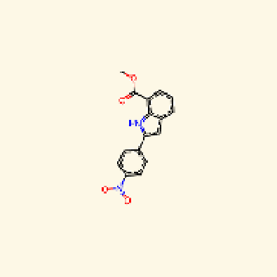 COC(=O)c1cccc2cc(-c3ccc([N+](=O)[O-])cc3)[nH]c12